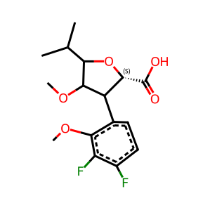 COc1c(C2C(OC)C(C(C)C)O[C@@H]2C(=O)O)ccc(F)c1F